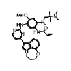 C=CC(=O)Nc1cc(Nc2nccc(-c3cn4c5c(cccc35)OCCC4)n2)c(OC)cc1N(C)CC(C)(C)N(C)C